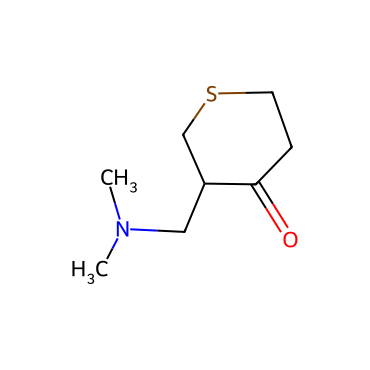 CN(C)CC1CSCCC1=O